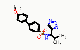 COc1ccc(-c2ccc(S(=O)(=O)NC(c3cnn[nH]3)C(C)C)cc2)cc1